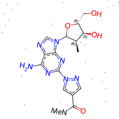 CNC(=O)c1cnn(-c2nc(N)c3ncn(C4O[C@H](CO)[C@@H](O)[C@H]4C)c3n2)c1